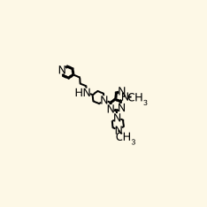 CN1CCN(c2nc(N3CCC(NCCCc4ccncc4)CC3)c3cnn(C)c3n2)CC1